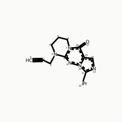 C#CCN1CCCn2c1nn1c(C(C)C)ncc1c2=O